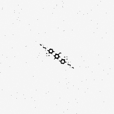 CCNCCNc1ccc2c(c1S(=O)(=O)O)Oc1c(CC)c3c(c(Cl)c1=N2)Oc1c(ccc(NCCNCC)c1S(=O)(=O)O)N=3